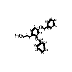 OCCCc1ccc(OCc2ccccc2)cc1OCc1ccccc1